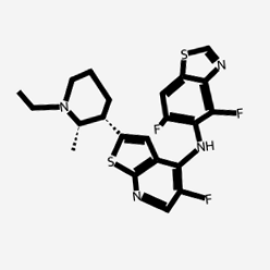 CCN1CCC[C@H](c2cc3c(Nc4c(F)cc5scnc5c4F)c(F)cnc3s2)[C@@H]1C